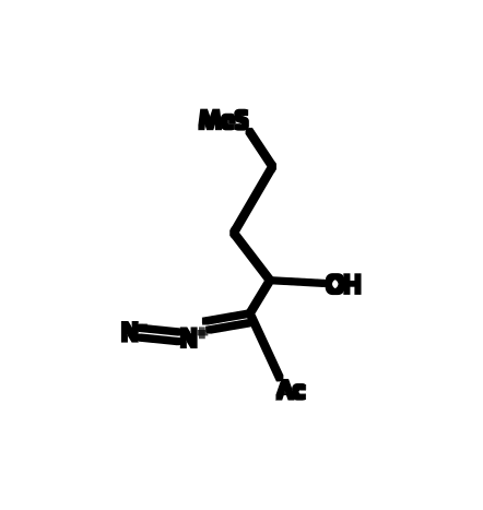 CSCCC(O)C(=[N+]=[N-])C(C)=O